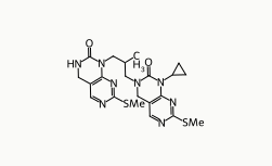 CSc1ncc2c(n1)N(CC(C)CN1Cc3cnc(SC)nc3N(C3CC3)C1=O)C(=O)NC2